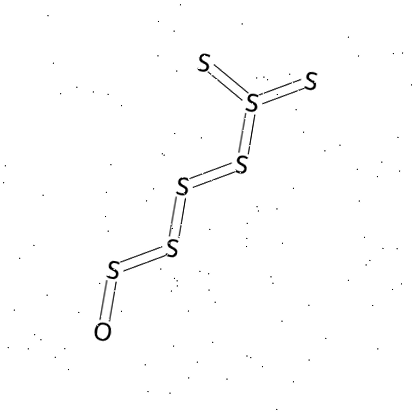 O=S=S=S=S=S(=S)=S